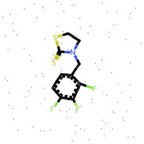 Fc1ccc(CN2CCSC2=S)c(F)c1F